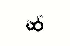 CCCc1cccc2cc[se]c12